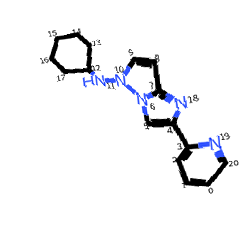 c1ccc(-c2cn3c(ccn3NC3CCCCC3)n2)nc1